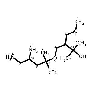 COCC(COC(C)(C)CC(N)CN)C(C)(C)O